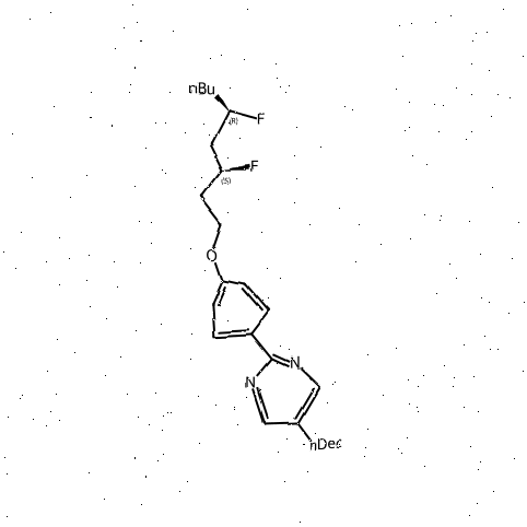 CCCCCCCCCCc1cnc(-c2ccc(OCC[C@H](F)C[C@H](F)CCCC)cc2)nc1